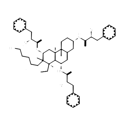 C[C@H](CCCO)[C@H]1CC[C@H]2C3[C@H](NC(=O)[C@@H](N)Cc4ccccc4)CC4C[C@H](NC(=O)[C@@H](N)Cc5ccccc5)CCC4(C)[C@H]3C[C@H](NC(=O)[C@@H](N)Cc3ccccc3)C12C